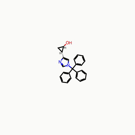 O[C@@H]1C[C@H]1c1cn(C(c2ccccc2)(c2ccccc2)c2ccccc2)cn1